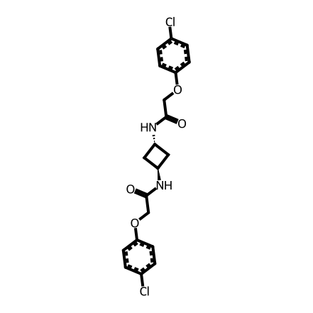 O=C(COc1ccc(Cl)cc1)N[C@H]1C[C@H](NC(=O)COc2ccc(Cl)cc2)C1